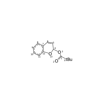 CC(C)(C)C(=O)OC1C=Cc2ccccc2O1